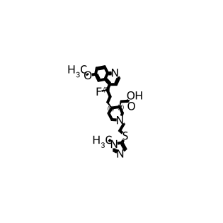 COc1ccc2nccc([C@H](F)CC[C@@H]3CCN(CCSc4cncn4C)C[C@@H]3CC(=O)O)c2c1